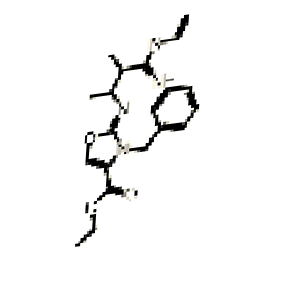 C=CNC(=N)C(C)C(C)/N=c1\occ(C(=O)OCC)n1Cc1ccccc1